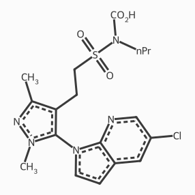 CCCN(C(=O)O)S(=O)(=O)CCc1c(C)nn(C)c1-n1ccc2cc(Cl)cnc21